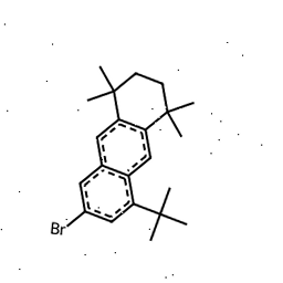 CC(C)(C)c1cc(Br)cc2cc3c(cc12)C(C)(C)CCC3(C)C